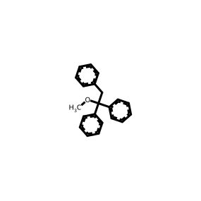 COC(Cc1ccccc1)(c1ccccc1)c1ccccc1